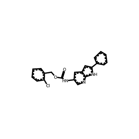 O=C(Nc1cnc2[nH]c(-c3ccccc3)cc2c1)OCc1ccccc1Cl